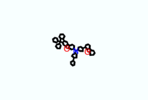 c1ccc(-c2ccc(N(c3ccc(-c4cccc5c4oc4ccccc45)cc3)c3ccc4c(c3)oc3cc5c(cc34)-c3ccccc3C5(c3ccccc3)c3ccccc3)cc2)cc1